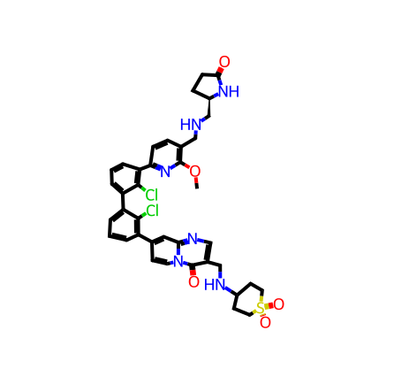 COc1nc(-c2cccc(-c3cccc(-c4ccn5c(=O)c(CNC6CCS(=O)(=O)CC6)cnc5c4)c3Cl)c2Cl)ccc1CNC[C@H]1CCC(=O)N1